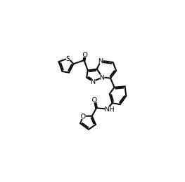 O=C(Nc1cccc(-c2ccnc3c(C(=O)c4cccs4)cnn23)c1)c1ccco1